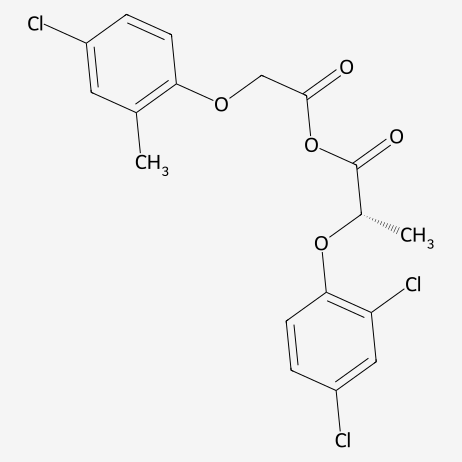 Cc1cc(Cl)ccc1OCC(=O)OC(=O)[C@H](C)Oc1ccc(Cl)cc1Cl